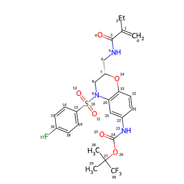 C=C(CC)C(=O)NC[C@H]1CN(S(=O)(=O)c2ccc(F)cc2)c2cc(NC(=O)OC(C)(C)C(F)(F)F)ccc2O1